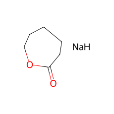 O=C1CCCCCO1.[NaH]